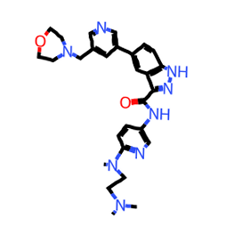 CN(C)CCN(C)c1ccc(NC(=O)c2n[nH]c3ccc(-c4cncc(CN5CCOCC5)c4)cc23)cn1